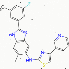 Cc1cc2[nH]c(-c3cc(F)cc(C(F)(F)F)c3)nc2cc1Nc1nc(-c2cccnc2)cs1